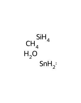 C.O.[SiH4].[SnH2]